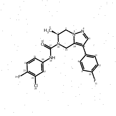 C[C@H]1Cn2ncc(-c3ccc(F)cc3)c2CN1C(=O)Nc1ccc(F)c(Cl)c1